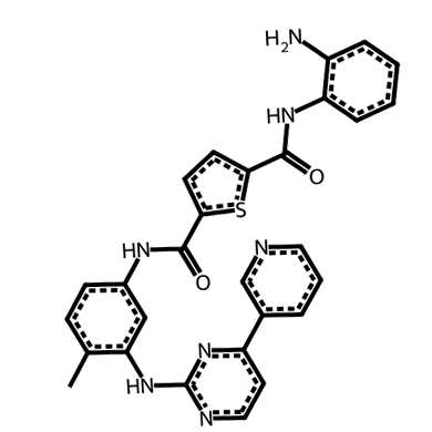 Cc1ccc(NC(=O)c2ccc(C(=O)Nc3ccccc3N)s2)cc1Nc1nccc(-c2cccnc2)n1